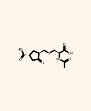 CC(=O)N[C@@H](CSC[C@@H]1C[C@@H](C(=O)O)CC1=O)C(=O)O